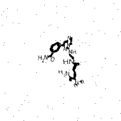 C=C(N)/C(=C\C=C(/C)NCCNc1nc(-c2cccc(C(N)=O)c2)cc2nccn12)[N+](=O)[O-]